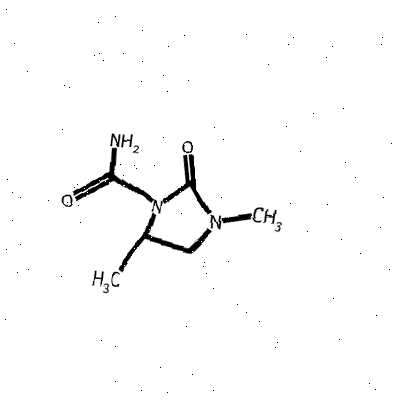 CC1CN(C)C(=O)N1C(N)=O